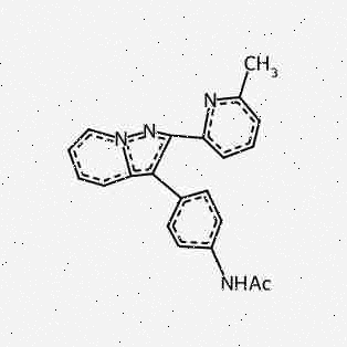 CC(=O)Nc1ccc(-c2c(-c3cccc(C)n3)nn3ccccc23)cc1